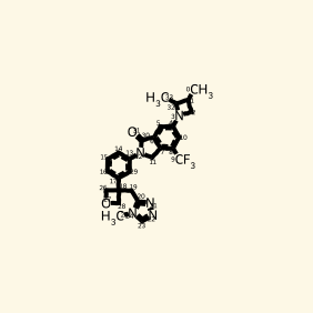 CC1CN(c2cc3c(c(C(F)(F)F)c2)CN(c2cccc(C4(Cc5nncn5C)COC4)c2)C3=O)C1C